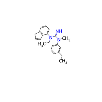 CCc1cccc(N(C)C(=N)N(CC)c2cccc3c2C=CC3)c1